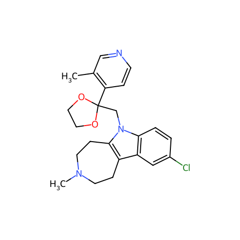 Cc1cnccc1C1(Cn2c3c(c4cc(Cl)ccc42)CCN(C)CC3)OCCO1